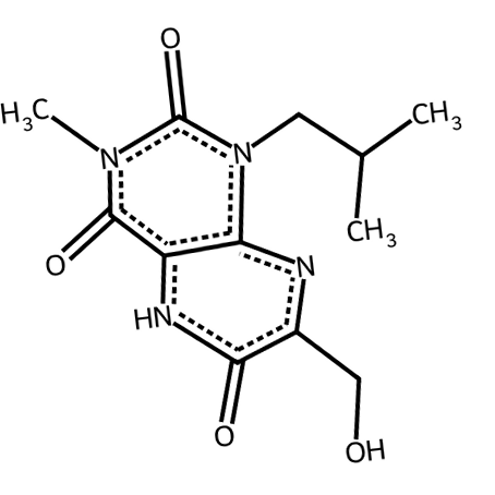 CC(C)Cn1c(=O)n(C)c(=O)c2[nH]c(=O)c(CO)nc21